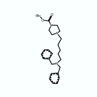 CC(C)(C)OC(=O)N1CCN(CCCCCN(Cc2ccccc2)Cc2ccccc2)CC1